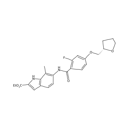 CCOC(=O)c1cc2ccc(NC(=O)c3ccc(OC[C@@H]4CCCO4)cc3F)c(C)c2[nH]1